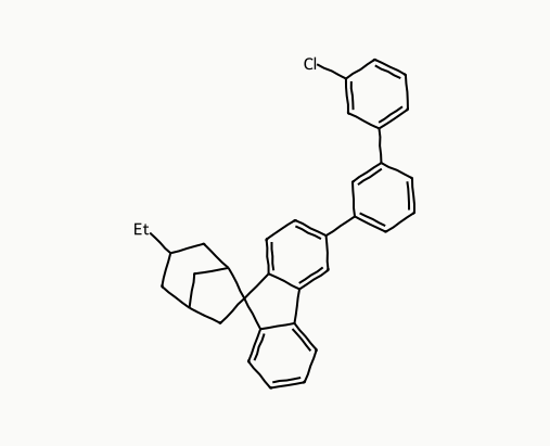 CCC1CC2CC(C1)C1(C2)c2ccccc2-c2cc(-c3cccc(-c4cccc(Cl)c4)c3)ccc21